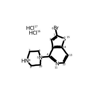 Brc1cc2c(N3CCNCC3)nccc2s1.Cl.Cl